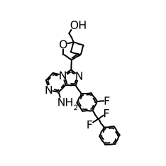 Nc1nccn2c(C3=C4CC(CO)(C4)OC3)nc(-c3ccc(C(F)(F)c4ccccc4)c(F)c3)c12